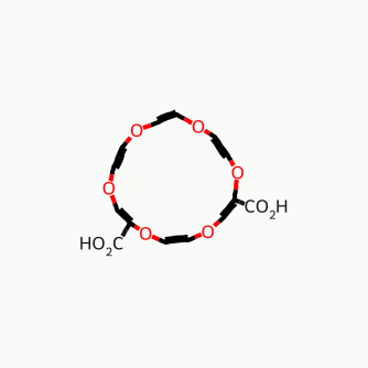 O=C(O)C1=COC=COC=COC=COC(C(=O)O)=COC=CO1